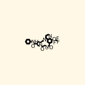 CN(CC(=O)N1CC(C(=O)Nc2ccccc2)CC1C#N)C(=O)c1cc(OC(F)(F)F)c2ncccc2c1